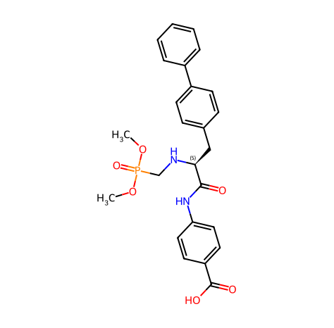 COP(=O)(CN[C@@H](Cc1ccc(-c2ccccc2)cc1)C(=O)Nc1ccc(C(=O)O)cc1)OC